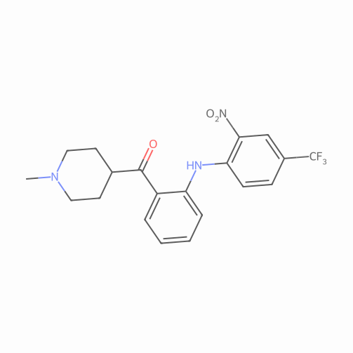 CN1CCC(C(=O)c2ccccc2Nc2ccc(C(F)(F)F)cc2[N+](=O)[O-])CC1